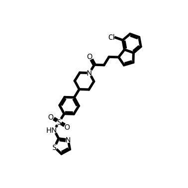 O=C(CCC1C=Cc2cccc(Cl)c21)N1CCC(c2ccc(S(=O)(=O)Nc3nccs3)cc2)CC1